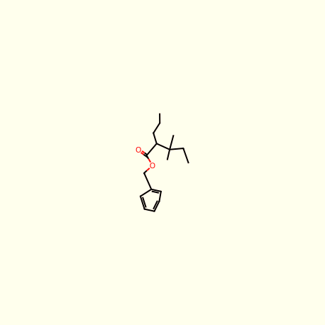 CCCC(C(=O)OCc1ccccc1)C(C)(C)CC